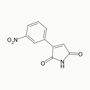 O=C1C=C(c2cccc([N+](=O)[O-])c2)C(=O)N1